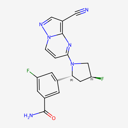 N#Cc1cnn2ccc(N3C[C@@H](F)C[C@@H]3c3cc(F)cc(C(N)=O)c3)nc12